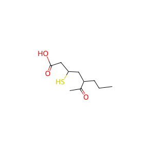 CCCC(CC(S)CC(=O)O)C(C)=O